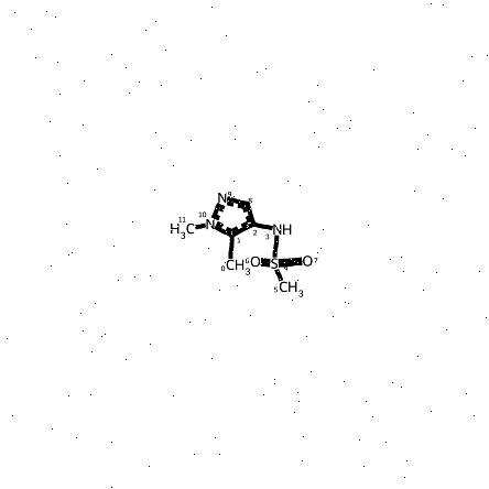 Cc1c(NS(C)(=O)=O)cnn1C